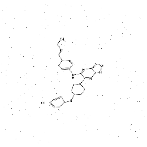 CCOCC1C=CC(Nc2nc3nonc3nc2N2CCC(OC3C=CC(Cl)=CC3)CC2)=CC1